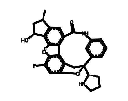 C[C@@H]1C[C@H](O)c2c1cc1c(c2F)-c2c(Cl)c(F)cc3c2C[C@]([C@@H]2CCCN2)(O3)c2cccc(c2)NC1=O